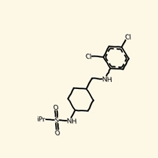 CC(C)S(=O)(=O)NC1CCC(CNc2ccc(Cl)cc2Cl)CC1